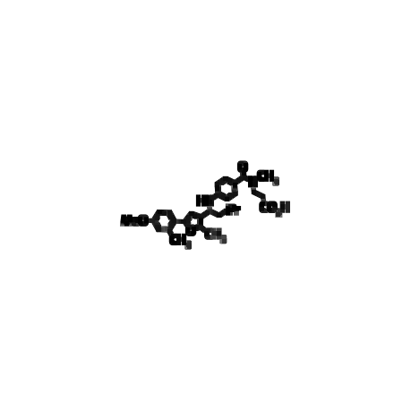 COc1ccc(-c2cc(C(CC(C)C)Nc3ccc(C(=O)N(C)CCC(=O)O)cc3)c(C)o2)c(C)c1